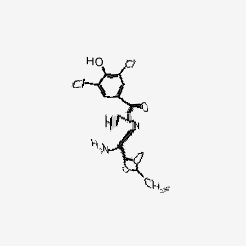 CC1OC(/C(N)=N/NC(=O)c2cc(Cl)c(O)c(Cl)c2)O1